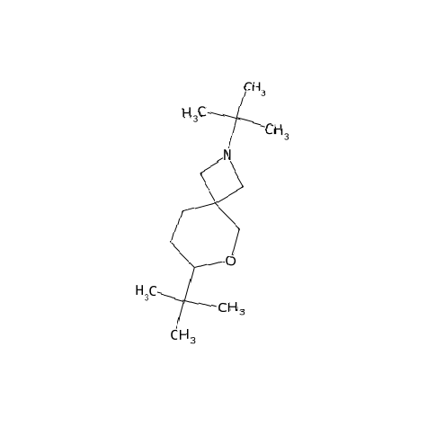 CC(C)(C)C1CCC2(CO1)CN(C(C)(C)C)C2